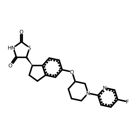 O=C1NC(=O)C([C@@H]2CCc3cc(OC4CCCN(c5ccc(F)cn5)C4)ccc32)S1